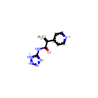 C=C(C(=O)Nc1nnn[nH]1)c1ccncc1